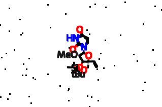 C=C[C@]1(CO)O[C@@H](n2ccc(=O)[nH]c2=O)[C@@H](OC)C1O[Si](C)(C)C(C)(C)C